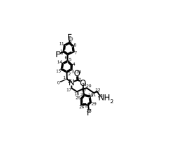 C[C@@H](c1ccc(-c2ccc(F)cc2F)cc1)N1CCC(CCCN)(c2ccc(F)cc2)OC1=O